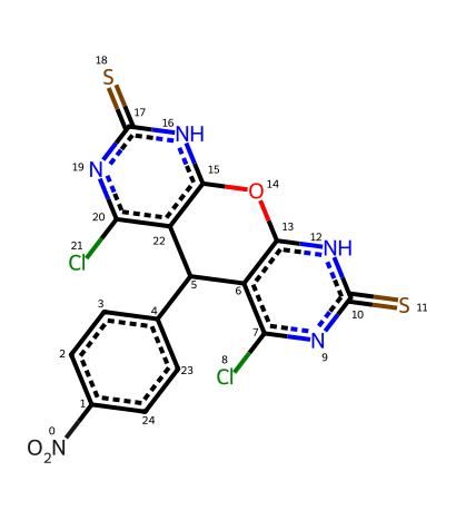 O=[N+]([O-])c1ccc(C2c3c(Cl)nc(=S)[nH]c3Oc3[nH]c(=S)nc(Cl)c32)cc1